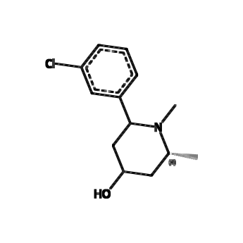 C[C@@H]1CC(O)CC(c2cccc(Cl)c2)N1C